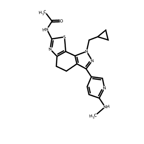 CNc1ccc(-c2nn(CC3CC3)c3c2CCc2nc(NC(C)=O)sc2-3)cn1